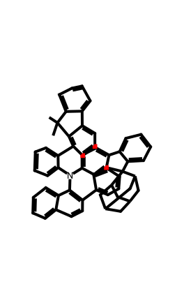 CC1(C)c2ccccc2-c2cccc(-c3ccccc3N(c3ccc4c(c3)C3(c5ccccc5-4)C4CC5CC(C4)CC3C5)c3c(-c4ccccc4)ccc4ccccc34)c21